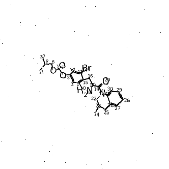 Cc1cc(OC(=O)OCC(C)C)cc(Br)c1C[C@@H](N)C(=O)N1CC(C)Cc2ccccc21